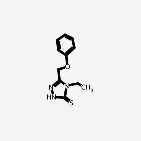 CCn1c(COc2ccccc2)n[nH]c1=S